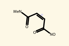 CNC(=O)/C=C\C(=O)N=O